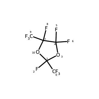 FC(F)(F)C1(F)OC(F)(F)C(F)(C(F)(F)F)O1